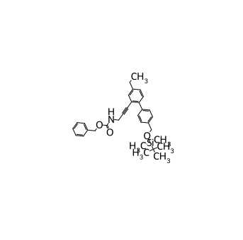 CCc1ccc(-c2ccc(CO[Si](C)(C)C(C)(C)C)cc2)c(C#CCNC(=O)OCc2ccccc2)c1